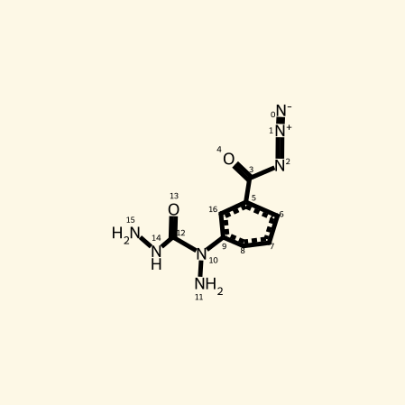 [N-]=[N+]=NC(=O)c1cccc(N(N)C(=O)NN)c1